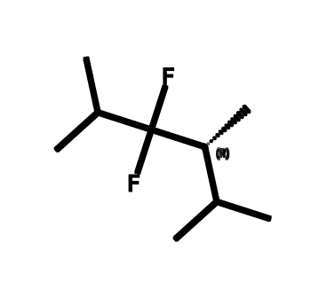 CC(C)[C@@H](C)C(F)(F)C(C)C